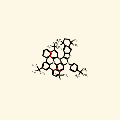 CC(C)(C)c1ccc(N2c3cc(C(C)(C)C)cc4c3B(c3cc(C(C)(C)C)ccc3N4c3c(-c4ccccc4)cc(C(C)(C)C)cc3-c3ccccc3)c3c2oc2cc4c(cc32)C(C)(C)CCC4(C)C)cc1